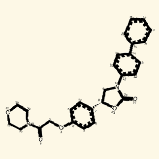 O=C(COc1ccc([C@@H]2CN(c3ccc(-c4ccccc4)cc3)C(=O)O2)cc1)N1CCOCC1